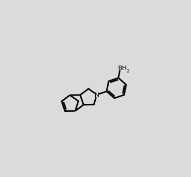 Bc1cccc(N2CC3C4C=CC(C4)C3C2)c1